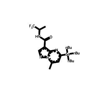 CCC[CH2][Sn]([CH2]CCC)([CH2]CCC)[c]1cc(C)n2ncc(C(=O)NC(C)C(F)(F)F)c2n1